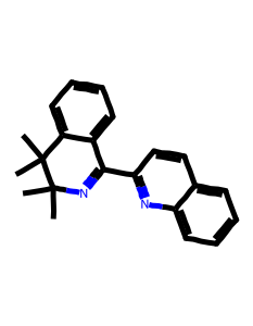 CC1(C)N=C(c2ccc3ccccc3n2)c2ccccc2C1(C)C